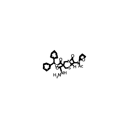 CC(=O)N(c1ccco1)C1C(=O)N2CC(C(=O)NN)(C(=O)OC(c3ccccc3)c3ccccc3)CS[C@H]12